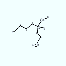 CCCCC(C)(CCO)OC